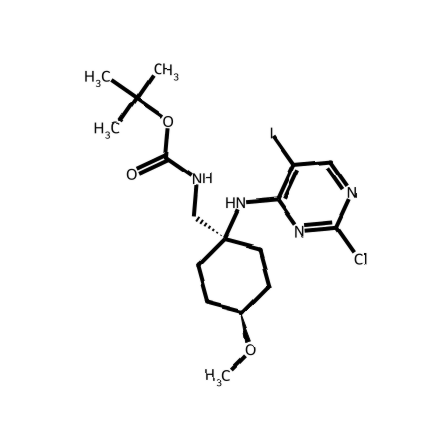 CO[C@H]1CC[C@@](CNC(=O)OC(C)(C)C)(Nc2nc(Cl)ncc2I)CC1